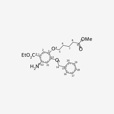 CCOC(=O)c1cc(OCCCCC(=O)OC)c(OCc2ccccc2)cc1N